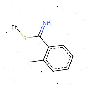 CCSC(=N)c1ccccc1C